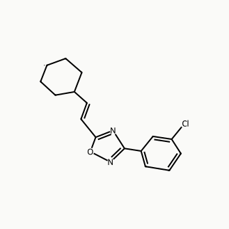 Clc1cccc(-c2noc(C=CC3CC[CH]CC3)n2)c1